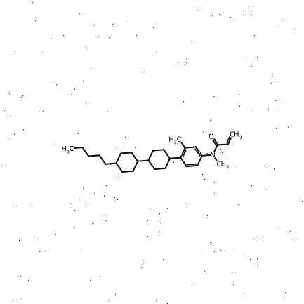 C=CC(=O)N(C)c1ccc(C2CCC(C3CCC(CCCCC)CC3)CC2)c(C)c1